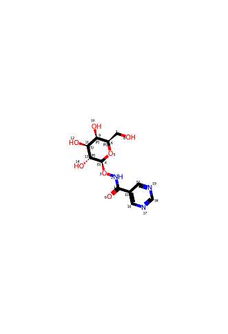 O=C(NO[C@@H]1O[C@H](CO)[C@H](O)[C@H](O)[C@H]1O)c1cncnc1